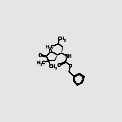 CC(C)C[C@H](NC(=O)OCc1ccccc1)[C@@H]1CC(C)(C)C(=O)O1